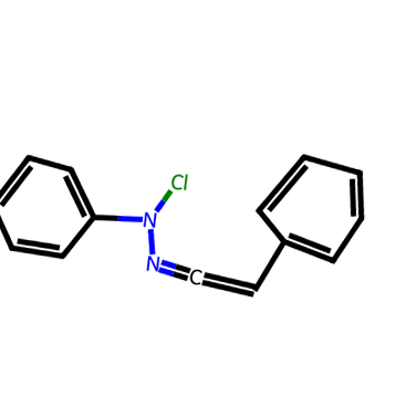 ClN(N=C=Cc1ccccc1)c1ccccc1